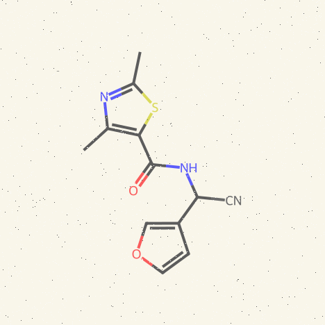 Cc1nc(C)c(C(=O)NC(C#N)c2ccoc2)s1